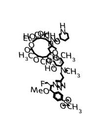 CC[C@H]1OC(=O)[C@H](C)C(=O)[C@H](C)[C@@H](O[C@@H]2O[C@H](C)C[C@H](N(C)CCc3cn([C@H](CF)[C@H](OC)c4ccc(S(C)(=O)=O)cc4)nn3)[C@H]2O)[C@@]2(C)C[C@@H](CO2)/C(=N\O[C@@H]2CCCNC2)[C@H](C)[C@@H](O)[C@]1(C)O